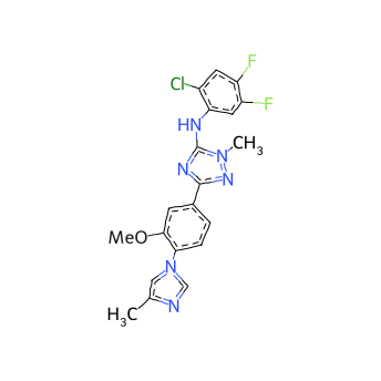 COc1cc(-c2nc(Nc3cc(F)c(F)cc3Cl)n(C)n2)ccc1-n1cnc(C)c1